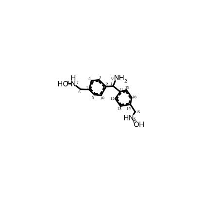 NC(c1ccc(CNO)cc1)c1ccc(CNO)cc1